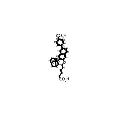 O=C(O)CCCCCOc1cc2ccc(-c3ccc(C(=O)O)cc3)cc2cc1C12CC3CC(CC(C3)C1)C2